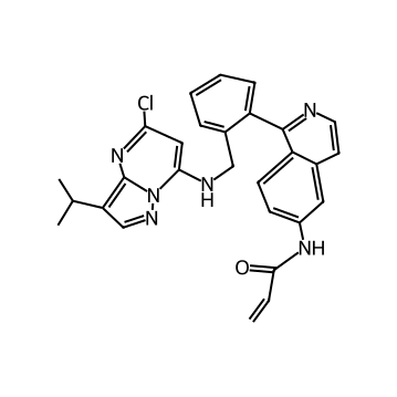 C=CC(=O)Nc1ccc2c(-c3ccccc3CNc3cc(Cl)nc4c(C(C)C)cnn34)nccc2c1